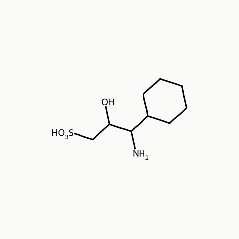 NC(C(O)CS(=O)(=O)O)C1CCCCC1